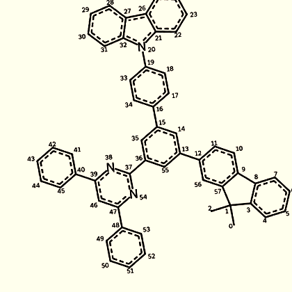 CC1(C)c2ccccc2-c2ccc(-c3cc(-c4ccc(-n5c6ccccc6c6ccccc65)cc4)cc(-c4nc(-c5ccccc5)cc(-c5ccccc5)n4)c3)cc21